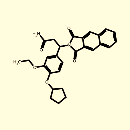 CCOc1cc(C(CC(N)=O)N2C(=O)c3cc4ccccc4cc3C2=O)ccc1OC1CCCC1